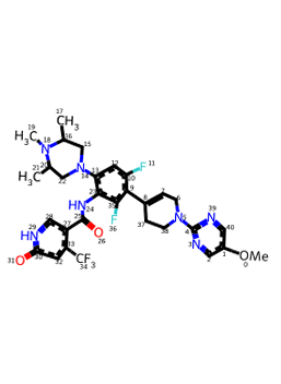 COc1cnc(N2CC=C(c3c(F)cc(N4CC(C)N(C)C(C)C4)c(NC(=O)c4c[nH]c(=O)cc4C(F)(F)F)c3F)CC2)nc1